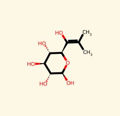 CC(C)=C(O)[C@H]1O[C@@H](O)[C@H](O)[C@@H](O)[C@@H]1O